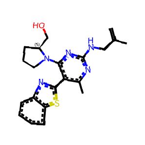 C=C(C)CNc1nc(C)c(-c2nc3ccccc3s2)c(N2CCC[C@H]2CO)n1